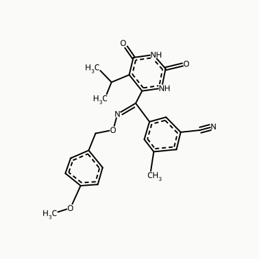 COc1ccc(CO/N=C(\c2cc(C)cc(C#N)c2)c2[nH]c(=O)[nH]c(=O)c2C(C)C)cc1